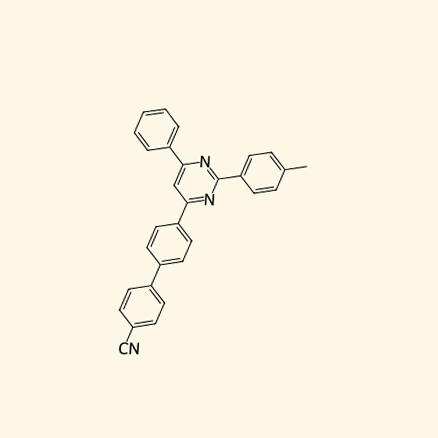 Cc1ccc(-c2nc(-c3ccccc3)cc(-c3ccc(-c4ccc(C#N)cc4)cc3)n2)cc1